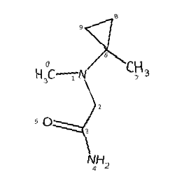 CN(CC(N)=O)C1(C)CC1